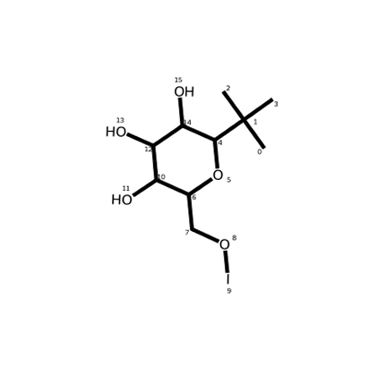 CC(C)(C)C1OC(COI)C(O)C(O)C1O